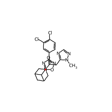 Cn1ncnc1CC(=O)N1CC2CC(C1)C2c1nc(-c2ccc(Cl)c(Cl)c2)no1